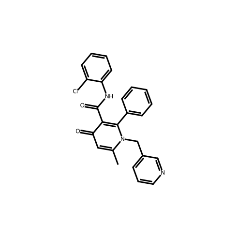 Cc1cc(=O)c(C(=O)Nc2ccccc2Cl)c(-c2ccccc2)n1Cc1cccnc1